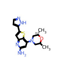 CC1CN(c2cc(N)nc3cc(-c4ccn[nH]4)sc23)C[C@H](C)O1